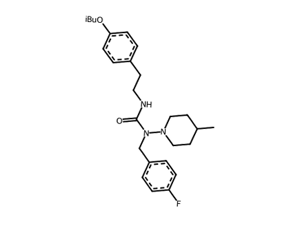 CC(C)COc1ccc(CCNC(=O)N(Cc2ccc(F)cc2)N2CCC(C)CC2)cc1